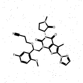 COc1ccc(F)cc1[C@H](Cn1c(=O)n([C@@H]2CCN(C)C2=O)c(=O)c2c(C)c(-n3nccn3)sc21)OCCC#N